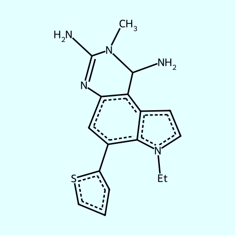 CCn1ccc2c3c(cc(-c4cccs4)c21)N=C(N)N(C)C3N